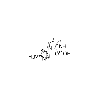 CC1(NC(=O)O)CCN(c2nnc(N)s2)C1